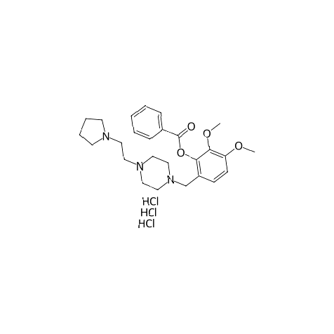 COc1ccc(CN2CCN(CCN3CCCC3)CC2)c(OC(=O)c2ccccc2)c1OC.Cl.Cl.Cl